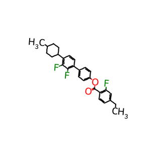 CCc1ccc(C(=O)Oc2ccc(-c3ccc(C4CCC(C)CC4)c(F)c3F)cc2)c(F)c1